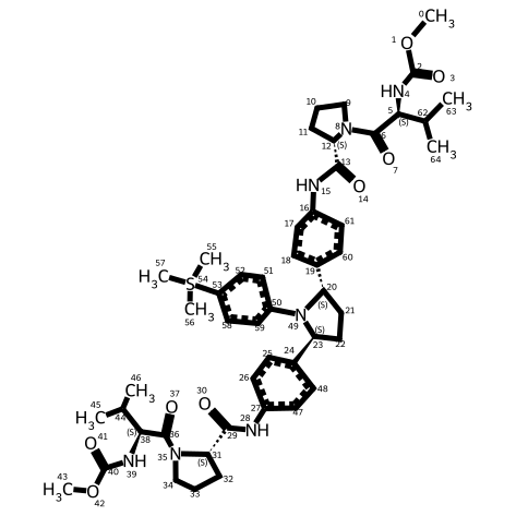 COC(=O)N[C@H](C(=O)N1CCC[C@H]1C(=O)Nc1ccc([C@@H]2CC[C@@H](c3ccc(NC(=O)[C@@H]4CCCN4C(=O)[C@@H](NC(=O)OC)C(C)C)cc3)N2c2ccc(S(C)(C)C)cc2)cc1)C(C)C